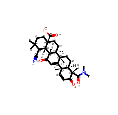 CN(C)C(=O)[C@]1(C)C(=O)C=C[C@]2(C)C3=CC(=O)[C@@H]4[C@@H]5C(C#N)C(C)(C)CC[C@]5(C(=O)O)CC[C@@]4(C)[C@]3(C)CC[C@@H]12